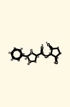 O=C(OC1C(=O)CCC1=O)C1COB(c2ccccc2)O1